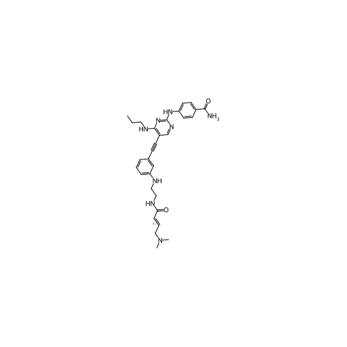 CCCNc1nc(Nc2ccc(C(N)=O)cc2)ncc1C#Cc1cccc(NCCNC(=O)/C=C/CN(C)C)c1